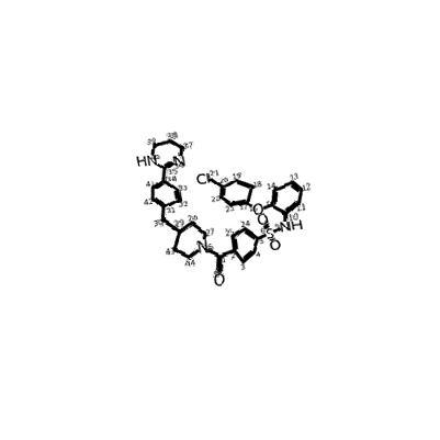 O=C(c1ccc(S(=O)(=O)Nc2ccccc2Oc2ccc(Cl)cc2)cc1)N1CCC(Cc2ccc(C3=NCCCN3)cc2)CC1